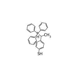 CC(c1ccc(S)cc1)[PH](c1ccccc1)(c1ccccc1)c1ccccc1